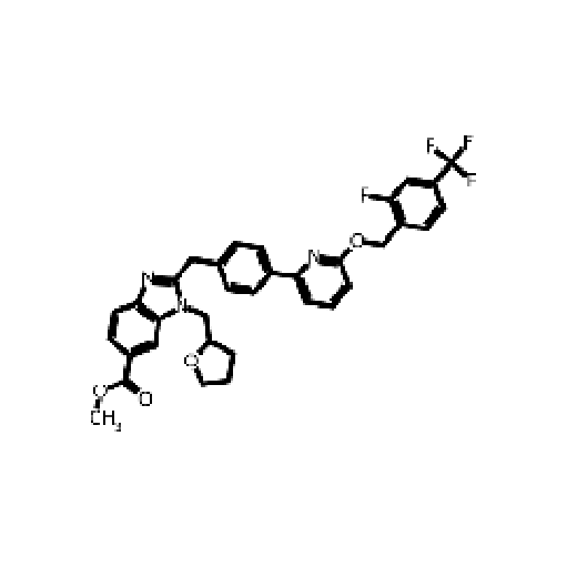 COC(=O)c1ccc2nc(Cc3ccc(-c4cccc(OCc5ccc(C(F)(F)F)cc5F)n4)cc3)n(CC3CCCO3)c2c1